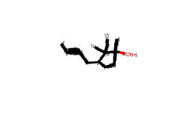 CC=CCC1CCC(C)(O)C1(C)C